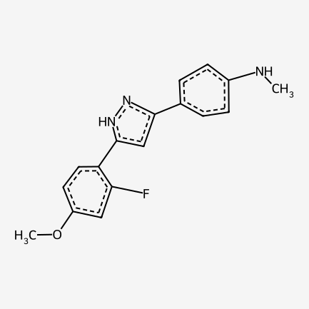 CNc1ccc(-c2cc(-c3ccc(OC)cc3F)[nH]n2)cc1